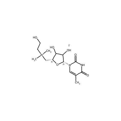 Cc1cn([C@@H]2O[C@H](C[N+](C)(C)CCO)C(O)C2O)c(=O)[nH]c1=O.[I-]